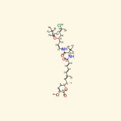 COC1=CC[C@@H]([C@@H](C)/C=C(C)/C=C/C=C/C(=O)N[C@H](C(=O)N/C=C\C[C@H](C/C=C(\C)Cl)O[Si](C)(C)C(C)(C)C)C(C)(C)C)OC1=O